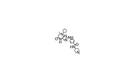 CC1CC(=O)Nc2cnc(Nc3ccc(C(=O)NC4CCN(C)CC4)cc3)nc2N1C1CCCC1